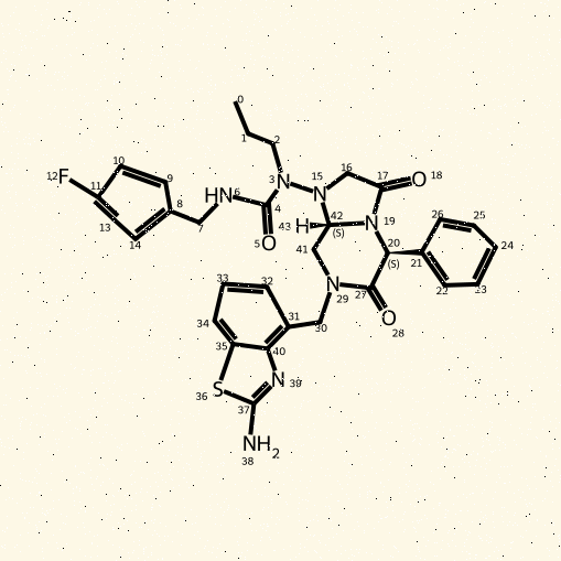 CCCN(C(=O)NCc1ccc(F)cc1)N1CC(=O)N2[C@@H](c3ccccc3)C(=O)N(Cc3cccc4sc(N)nc34)C[C@@H]21